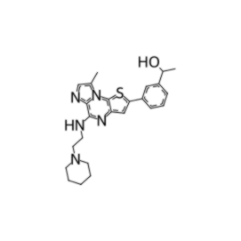 Cc1cnc2c(NCCN3CCCCC3)nc3cc(-c4cccc(C(C)O)c4)sc3n12